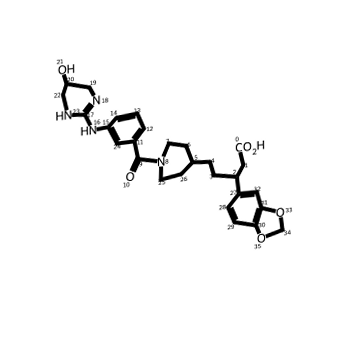 O=C(O)CC(CCC1CCN(C(=O)c2cccc(NC3=NCC(O)CN3)c2)CC1)c1ccc2c(c1)OCO2